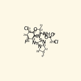 CC1Cc2nsc(=Nc3cc(OC(C)C(=N)NOC(=O)CCl)c(Cl)cc3F)n2C1